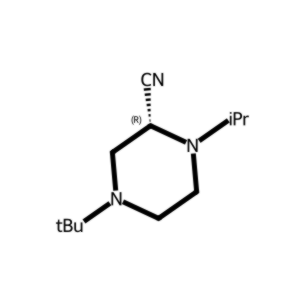 CC(C)N1CCN(C(C)(C)C)C[C@@H]1C#N